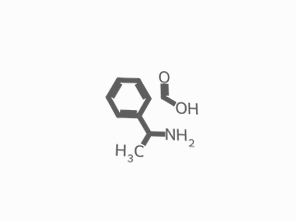 CC(N)c1ccccc1.O=CO